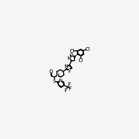 O=CC(Sc1ccc(C(F)(F)F)cn1)N1CCC(c2nc(C3=NO[C@@H](c4c(Cl)cc(Cl)cc4Cl)C3)cs2)CC1